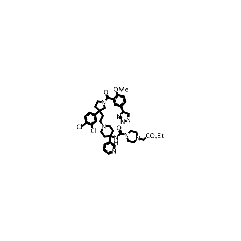 CCOC(=O)CN1CCN(C(=O)NC2(c3cccnc3)CCN(CCC3(c4ccc(Cl)c(Cl)c4)CCN(C(=O)c4cc(C5C=NN=N5)ccc4OC)C3)CC2)CC1